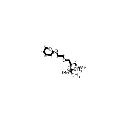 COC[C@H](COCCOC1CCCCO1)O[Si](C)(C)C(C)(C)C